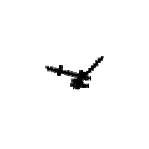 CCCCCCCCCCCCCC[C@@H](O)[C@@H](O)[C@H](CO[C@H]1O[C@H](CO)[C@H](O)[C@H](O)[C@H]1O)NC(=O)CCCCCCCCCCNC(=O)CCCCCCC